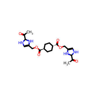 CC(=O)C1NC=C(COC(=O)[C@H]2CC[C@H](C(=O)OCC3=CNC(C(C)=O)N3)CC2)N1